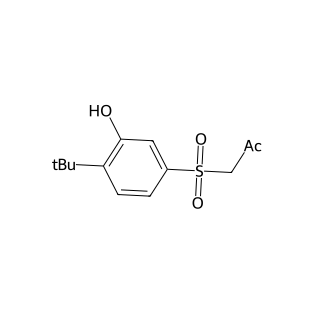 CC(=O)CS(=O)(=O)c1ccc(C(C)(C)C)c(O)c1